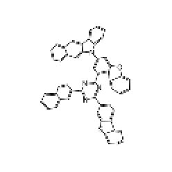 c1ccc2cc(-c3nc(-c4ccc5c(c4)sc4ccccc45)nc(-c4cc(-n5c6ccccc6c6cc7ccccc7cc65)cc5oc6ccccc6c45)n3)ccc2c1